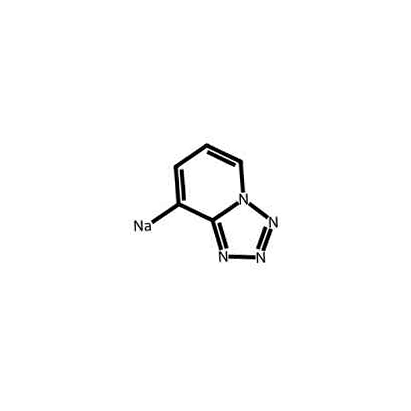 [Na][c]1cccn2nnnc12